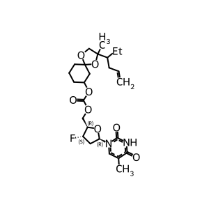 C=CCC(CC)C1(C)COC2(CCCC(OC(=O)OC[C@H]3O[C@@H](n4cc(C)c(=O)[nH]c4=O)C[C@@H]3F)C2)O1